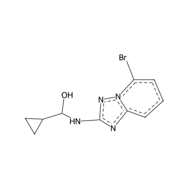 OC(Nc1nc2cccc(Br)n2n1)C1CC1